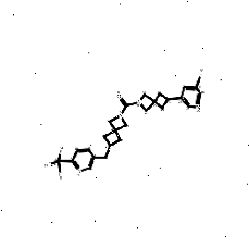 O=C(N1CC2(CC(Cc3ccc(C(F)(F)F)nc3)C2)C1)N1CC2(CC(c3cncc(F)c3)C2)C1